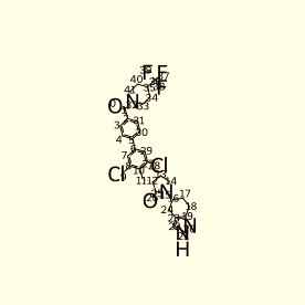 O=C(c1ccc(-c2cc(Cl)c(C[C@@H]3CCN([C@H]4CCc5n[nH]cc5C4)C3=O)c(Cl)c2)cc1)N1CCC(C(F)(F)F)CC1